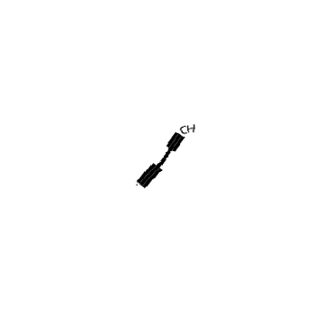 [C]#CC#C